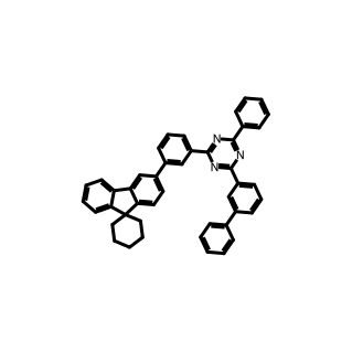 c1ccc(-c2cccc(-c3nc(-c4ccccc4)nc(-c4cccc(-c5ccc6c(c5)-c5ccccc5C65CCCCC5)c4)n3)c2)cc1